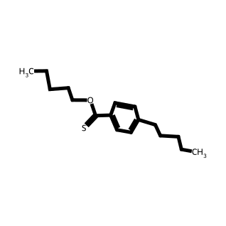 CCCCCOC(=S)c1ccc(CCCCC)cc1